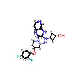 O[C@H]1C[C@H](Nc2nc3cnccc3nc2N2CCC(Oc3ccc(F)cc3F)CC2)C1